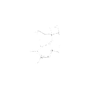 NCC1(n2ccc3cc(Cl)c(F)c(F)c32)COC1